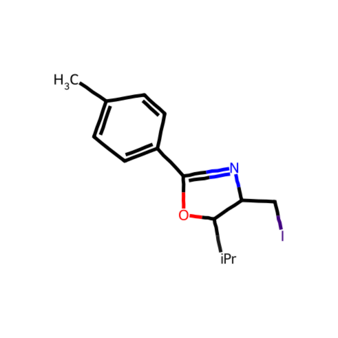 Cc1ccc(C2=NC(CI)C(C(C)C)O2)cc1